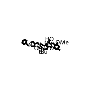 COc1cc(C)ccc1Cn1c(CO)nc2c(CN(CC3CCN(Cc4ccccc4)CC3)C(=O)OC(C)(C)C)nccc2c1=O